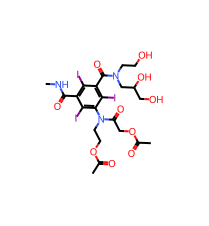 CNC(=O)c1c(I)c(C(=O)N(CCO)CC(O)CO)c(I)c(N(CCOC(C)=O)C(=O)COC(C)=O)c1I